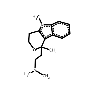 CN(C)CCC1(C)OCCc2c1c1ccccc1n2C